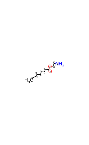 CCCCCCCCC(=O)OCCN